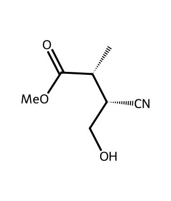 COC(=O)[C@H](C)[C@H](C#N)CO